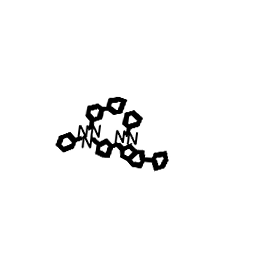 c1ccc(-c2cccc(-c3nc(-c4ccccc4)nc(-c4cccc(-c5nc(-c6ccccc6)nc6c5Cc5ccc(-c7ccccc7)cc5-6)c4)n3)c2)cc1